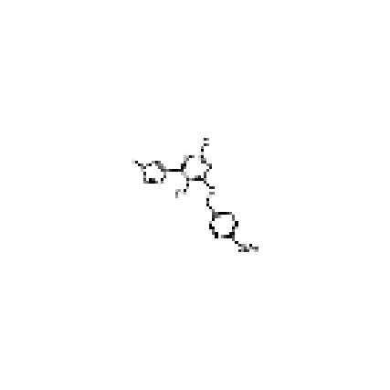 COc1ccc(COc2nc(Cl)nc(-c3cnn(C)c3)c2C(C)C)cc1